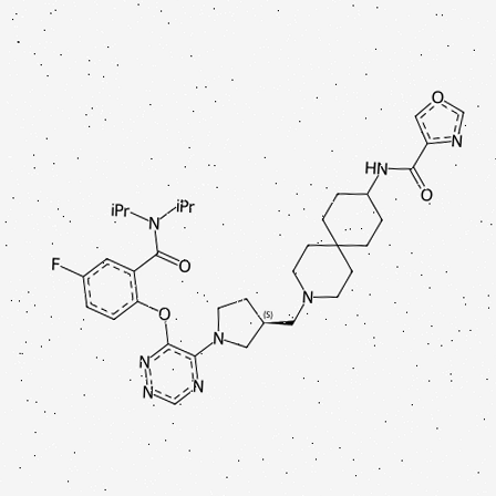 CC(C)N(C(=O)c1cc(F)ccc1Oc1nncnc1N1CC[C@@H](CN2CCC3(CCC(NC(=O)c4cocn4)CC3)CC2)C1)C(C)C